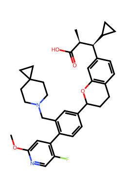 COc1cc(-c2ccc(C3CCc4ccc([C@H](C5CC5)[C@H](C)C(=O)O)cc4O3)cc2CN2CCC3(CC2)CC3)c(F)cn1